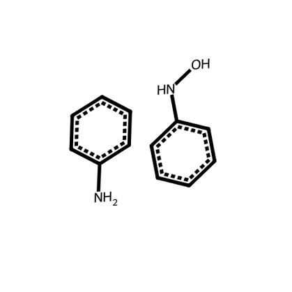 Nc1ccccc1.ONc1ccccc1